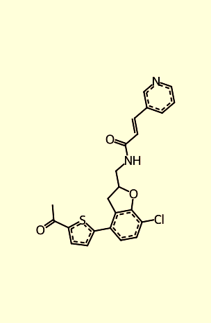 CC(=O)c1ccc(-c2ccc(Cl)c3c2CC(CNC(=O)C=Cc2cccnc2)O3)s1